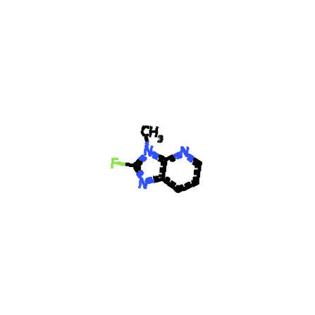 Cn1c(F)nc2cccnc21